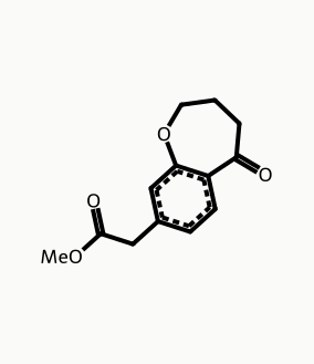 COC(=O)Cc1ccc2c(c1)OCCCC2=O